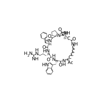 CC(=O)[C@@H]1CCCCNC(=O)C[C@@H]2NC(=O)N(C2=O)C2(CCCC2)C(=O)N[C@H](Cc2ccccc2)C(=O)N[C@@H](CCCNC(=N)N)C(=O)N[C@@H](Cc2c[nH]c3ccccc23)C(=O)N1